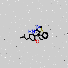 CC[C@@]1(c2ccccc2)C2=C(CC(CC(C)C)CC2=O)Nc2ncsc21